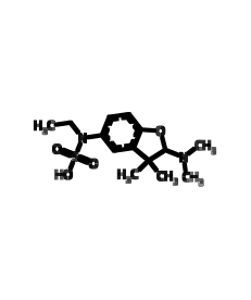 CCN(c1ccc2c(c1)C(C)(C)C(N(C)C)O2)S(=O)(=O)O